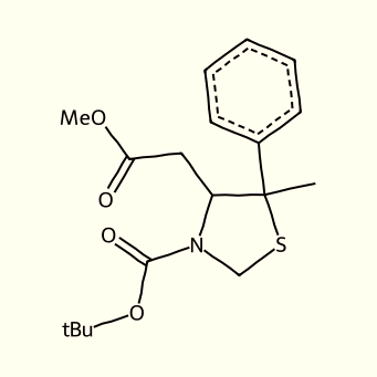 COC(=O)CC1N(C(=O)OC(C)(C)C)CSC1(C)c1ccccc1